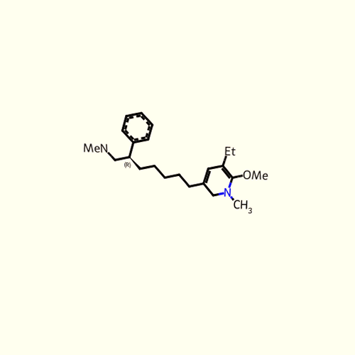 CCC1=C(OC)N(C)CC(CCCCC[C@@H](CNC)c2ccccc2)=C1